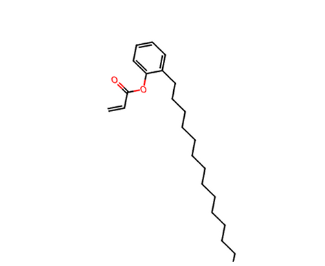 C=CC(=O)Oc1ccccc1CCCCCCCCCCCCCC